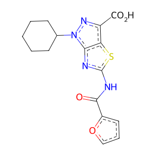 O=C(Nc1nc2c(s1)c(C(=O)O)nn2C1CCCCC1)c1ccco1